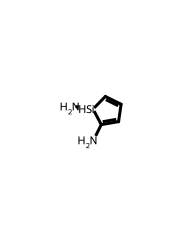 NC1=CC=C[SiH]1N